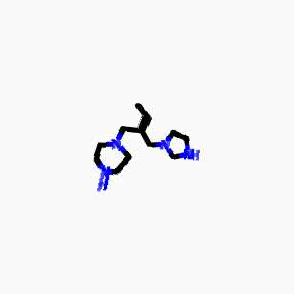 C/C=C(\CN1CCNCC1)CN1CCNC1